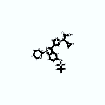 CC(C)(C)[Si](C)(C)Oc1ccc2c(c1)c(-c1cnn(C(C(=O)O)C3CC3)c1)nn2C1CCCCO1